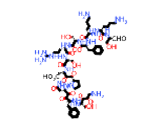 NCCCC[C@H](NN[C@@H](CCCCN)C(=O)N[C@@H](Cc1ccccc1)C(=O)N[C@@H](CO)C(=O)N[C@@H](CCCNC(N)N)C(=O)N[C@@H](CO)C(=O)N[C@@H](CC(=O)O)C(=O)C(=O)[C@@H]1CCCN1N[C@@H](CC(N)=O)C(=O)C(=O)[C@H](Cc1ccccc1)NN[C@@H](CO)C(=O)C(=O)CN)C(=O)N[C@H](C=O)CO